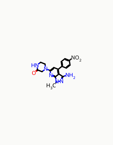 Cn1nc(N)c2c(-c3ccc([N+](=O)[O-])cc3)cc(N3CCNC(=O)C3)nc21